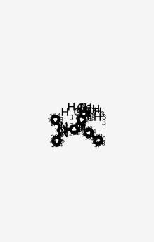 CC1(C)c2cc3c4cc(-c5nc(-c6ccccc6)cc(-c6ccccc6)n5)ccc4n(-c4ccc(-c5ccccc5)cc4)c3cc2C(C)(C)C1(C)C